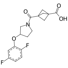 O=C(O)C12CC(C(=O)N3CCC(Oc4cc(F)ccc4F)C3)(C1)C2